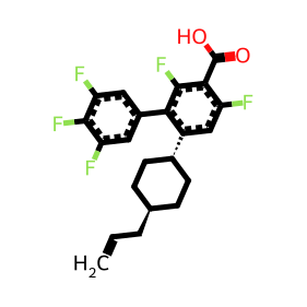 C=CC[C@H]1CC[C@H](c2cc(F)c(C(=O)O)c(F)c2-c2cc(F)c(F)c(F)c2)CC1